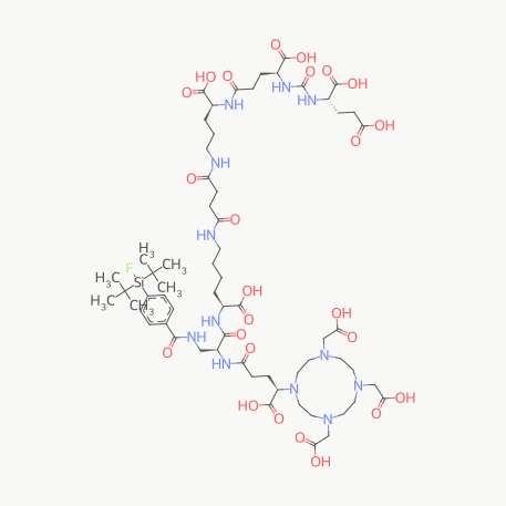 CC(C)(C)[Si](F)(c1ccc(C(=O)NC[C@H](NC(=O)CC[C@H](C(=O)O)N2CCN(CC(=O)O)CCN(CC(=O)O)CCN(CC(=O)O)CC2)C(=O)N[C@@H](CCCCNC(=O)CCC(=O)NCCC[C@H](NC(=O)CC[C@H](NC(=O)N[C@@H](CCC(=O)O)C(=O)O)C(=O)O)C(=O)O)C(=O)O)cc1)C(C)(C)C